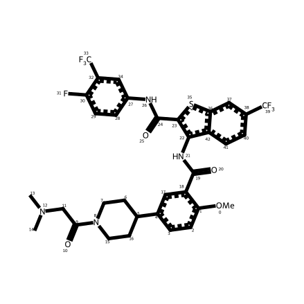 COc1ccc(C2CCN(C(=O)CN(C)C)CC2)cc1C(=O)Nc1c(C(=O)Nc2ccc(F)c(C(F)(F)F)c2)sc2cc(C(F)(F)F)ccc12